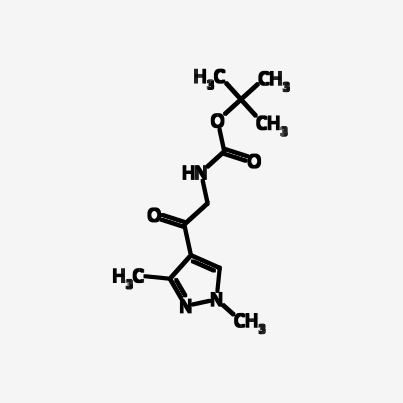 Cc1nn(C)cc1C(=O)CNC(=O)OC(C)(C)C